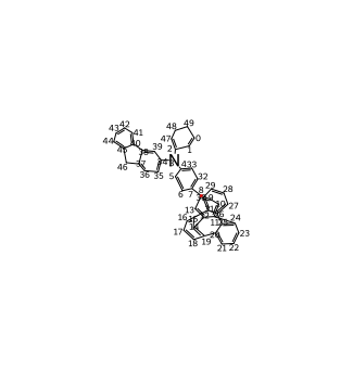 C1=CC(N(c2ccc(-c3ccc4c(c3)-c3c5cccc3-c3cccc-4c3-c3ccccc3-5)cc2)c2ccc3c(c2)-c2ccccc2C3)=CCC1